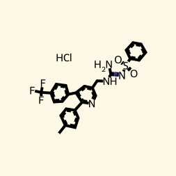 Cc1ccc(-c2ncc(CN/C(N)=N/S(=O)(=O)c3ccccc3)cc2-c2ccc(C(F)(F)F)cc2)cc1.Cl